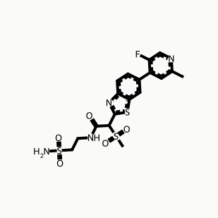 Cc1cc(-c2ccc3nc(C(C(=O)NCCS(N)(=O)=O)S(C)(=O)=O)sc3c2)c(F)cn1